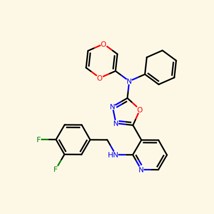 Fc1ccc(CNc2ncccc2-c2nnc(N(C3=CC=CCC3)C3=COC=CO3)o2)cc1F